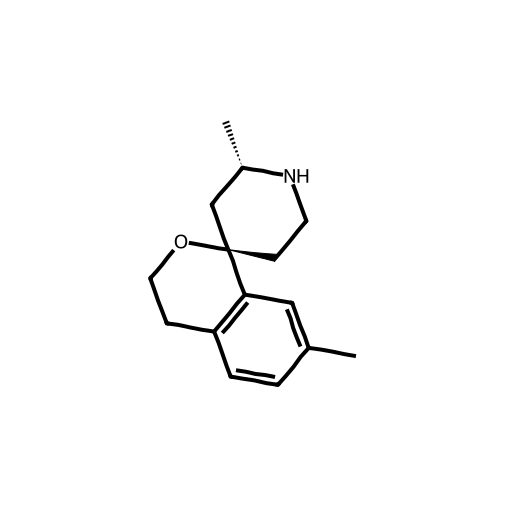 Cc1ccc2c(c1)[C@]1(CCN[C@@H](C)C1)OCC2